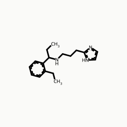 CCc1ccccc1C(CC)NCCCc1ncc[nH]1